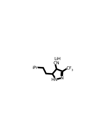 CC(C)CCC1NN=C(C(F)(F)F)C1C#N.[LiH]